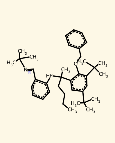 CCCCC(C)(Pc1ccccc1/C=N/C(C)(C)C)c1cc(C(C)(C)C)cc(C(C)(C)C)c1OCc1ccccc1